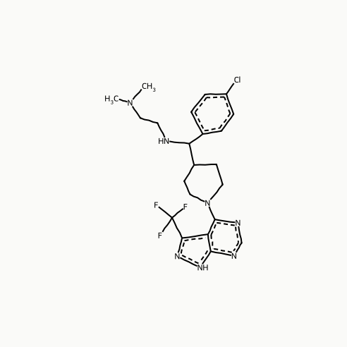 CN(C)CCNC(c1ccc(Cl)cc1)C1CCN(c2ncnc3[nH]nc(C(F)(F)F)c23)CC1